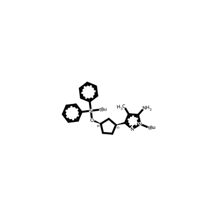 Cc1c([C@H]2CC[C@@H](O[Si](c3ccccc3)(c3ccccc3)C(C)(C)C)C2)nn(C(C)(C)C)c1N